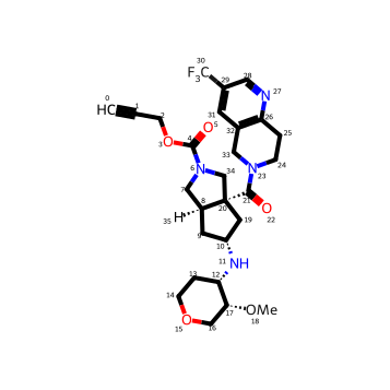 C#CCOC(=O)N1C[C@@H]2C[C@@H](N[C@H]3CCOC[C@H]3OC)C[C@]2(C(=O)N2CCc3ncc(C(F)(F)F)cc3C2)C1